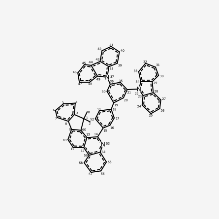 CC1(C)c2ccccc2-c2ccc3c(c(-c4ccc(-c5cc(-n6c7ccccc7c7ccccc76)cc(-n6c7ccccc7c7ccccc76)c5)cc4)nc4ccccc43)c21